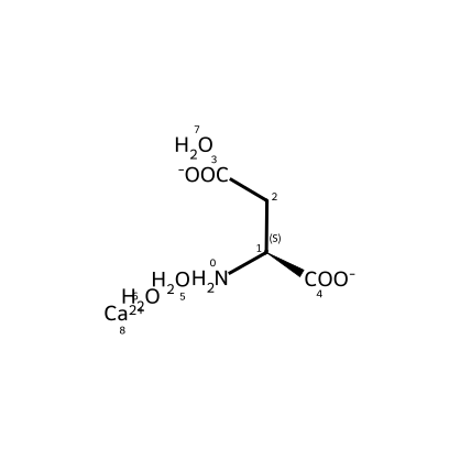 N[C@@H](CC(=O)[O-])C(=O)[O-].O.O.O.[Ca+2]